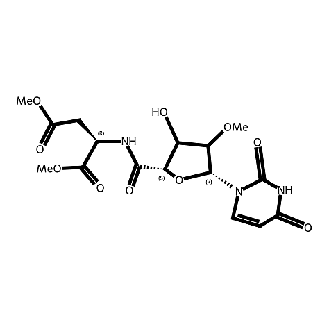 COC(=O)C[C@@H](NC(=O)[C@H]1O[C@@H](n2ccc(=O)[nH]c2=O)C(OC)C1O)C(=O)OC